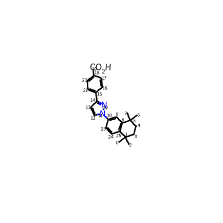 CC1(C)CCC(C)(C)c2cc(-n3ccc(-c4ccc(C(=O)O)cc4)n3)ccc21